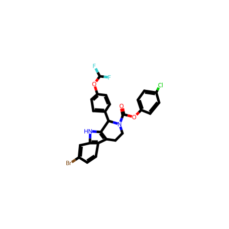 O=C(Oc1ccc(Cl)cc1)N1CCc2c([nH]c3cc(Br)ccc23)C1c1ccc(OC(F)F)cc1